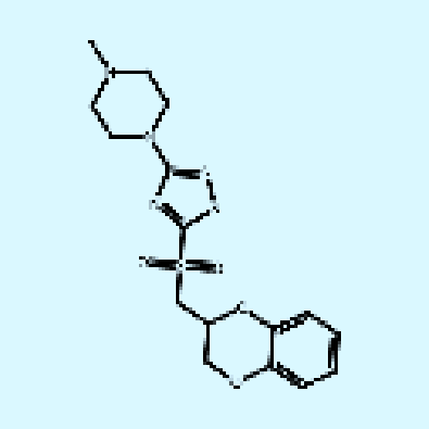 CN1CCN(c2nsc(S(=O)(=O)CC3COc4ccccc4O3)n2)CC1